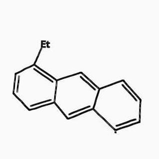 CCc1cccc2cc3[c]cccc3cc12